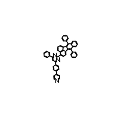 c1ccc(-c2cc(-c3ccc(-c4ccncc4)cc3)nc(-c3ccc4c5c(cccc35)-c3c-4c(-c4ccccc4)c4ccccc4c3-c3ccccc3)n2)cc1